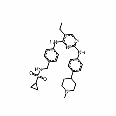 CCc1cnc(Nc2ccc(C3CCN(C)CC3)cc2)nc1Nc1ccc(CNS(=O)(=O)C2CC2)cc1